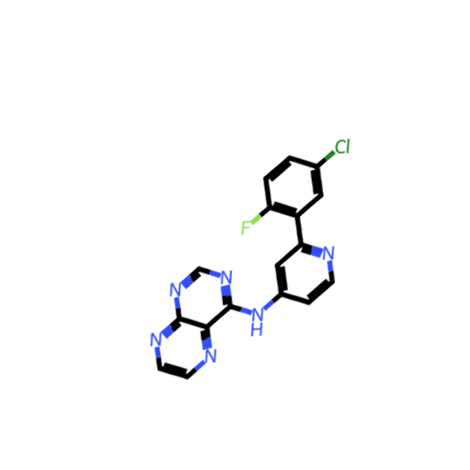 Fc1ccc(Cl)cc1-c1cc(Nc2ncnc3nccnc23)ccn1